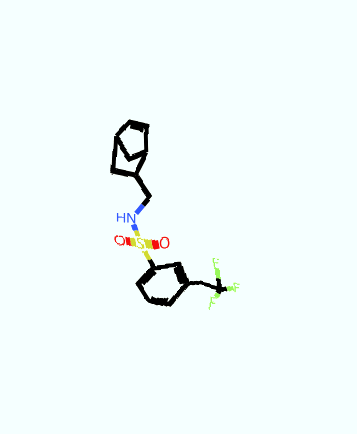 O=S(=O)(NCC1CC2C=CC1C2)c1cccc(C(F)(F)F)c1